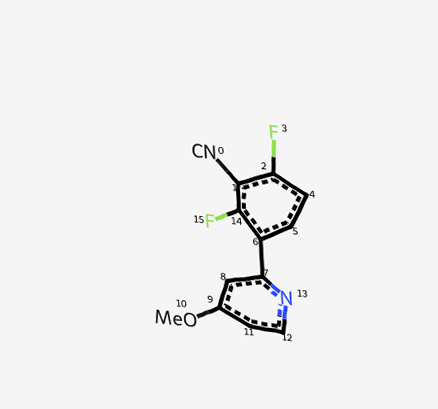 [C-]#[N+]c1c(F)ccc(-c2cc(OC)ccn2)c1F